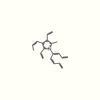 C=C/C=C\C(=C/C=C)n1c(C)c(C=C)c(/C=C\C)c1C=C